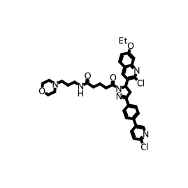 CCOc1ccc2cc(C3CC(c4ccc(-c5ccc(Cl)nc5)cc4)=NN3C(=O)CCCC(=O)NCCCN3CCOCC3)c(Cl)nc2c1